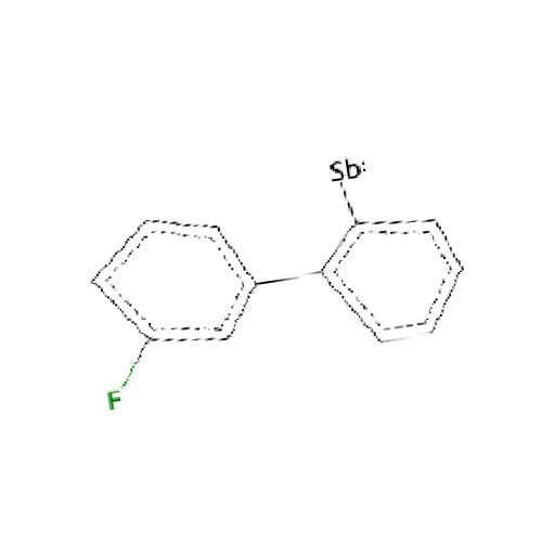 Fc1cccc(-c2cccc[c]2[Sb])c1